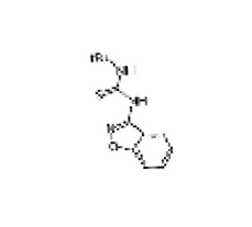 CC(C)(C)NC(=S)Nc1noc2ccccc12